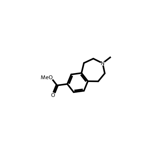 COC(=O)c1ccc2c(c1)CCN(C)CC2